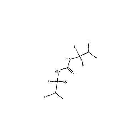 CC(F)C(F)(F)NC(=O)NC(F)(F)C(C)F